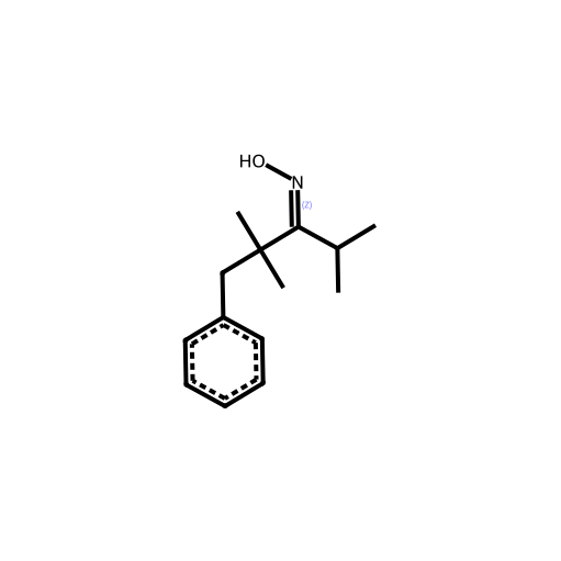 CC(C)/C(=N/O)C(C)(C)Cc1ccccc1